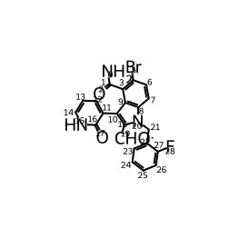 NC(=O)c1c(Br)ccc2c1c(-c1ccc[nH]c1=O)c([C]=O)n2Cc1ccccc1F